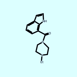 CCN1CCN(C(=O)c2cccc3[c]c[nH]c23)CC1